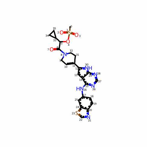 CS(=O)(=O)OC(C(=O)N1CC=C(c2cc3c(Nc4ccc5ncsc5c4)ncnc3[nH]2)CC1)C1CC1